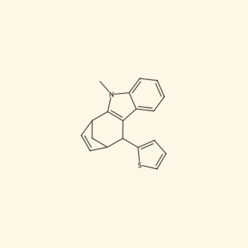 Cn1c2c(c3ccccc31)C(c1cccs1)C1C=CC2C1